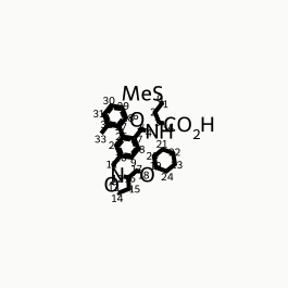 CSCCC(NC(=O)c1ccc(CN2OCCC2COC2CCCCC2)cc1-c1ccccc1C)C(=O)O